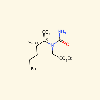 CCOC(=O)CN(C(N)=O)[C@H](C(=O)O)[C@@H](C)CCC(C)(C)C